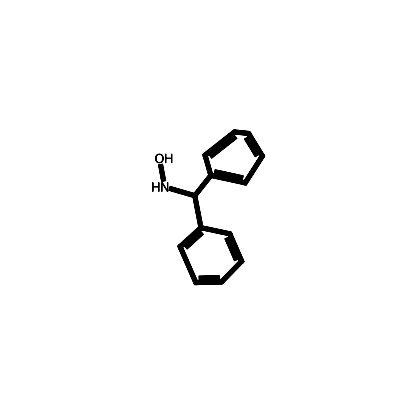 ONC(c1ccccc1)c1ccccc1